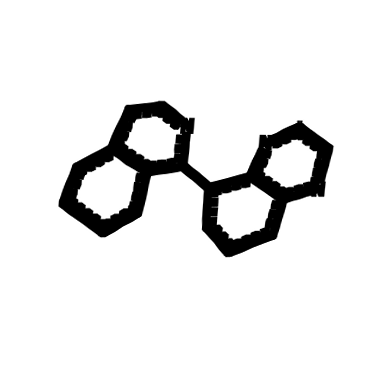 [c]1cnc2cccc(-c3nccc4ccccc34)c2n1